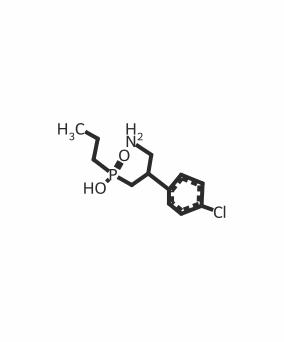 CCCP(=O)(O)CC(CN)c1ccc(Cl)cc1